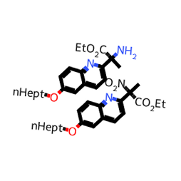 CCCCCCCOc1ccc2nc(C(C)(C(=O)OCC)[N+](=O)[O-])ccc2c1.CCCCCCCOc1ccc2nc(C(C)(N)C(=O)OCC)ccc2c1